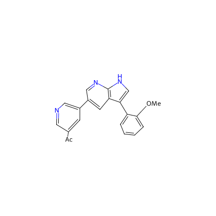 COc1ccccc1-c1c[nH]c2ncc(-c3cncc(C(C)=O)c3)cc12